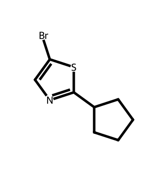 Brc1cnc(C2CCCC2)s1